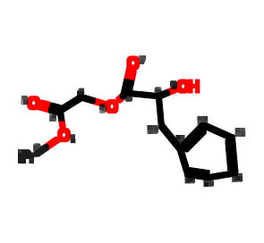 CC(C)OC(=O)COC(=O)C(O)Cc1ccccc1